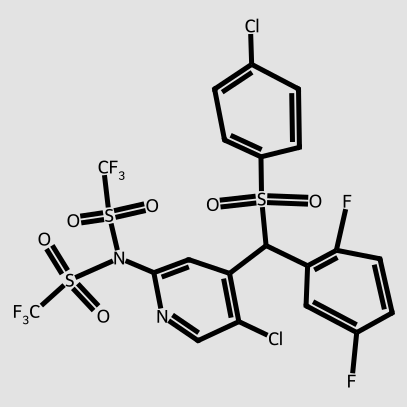 O=S(=O)(c1ccc(Cl)cc1)C(c1cc(F)ccc1F)c1cc(N(S(=O)(=O)C(F)(F)F)S(=O)(=O)C(F)(F)F)ncc1Cl